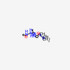 CN(C)CCCN(C)C(=O)c1cccc(Nc2ncc(C3CC3)c(NCCCNC(=O)C3CCC3)n2)c1